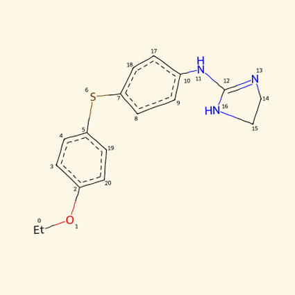 CCOc1ccc(Sc2ccc(NC3=NCCN3)cc2)cc1